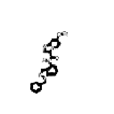 CCOc1ccn2c(C(=O)Nc3cccc4c3cnn4Cc3ccccc3)cnc2c1